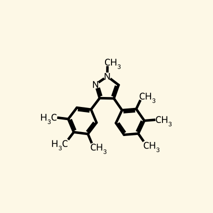 Cc1cc(-c2nn(C)cc2-c2ccc(C)c(C)c2C)cc(C)c1C